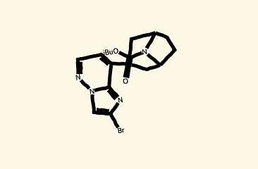 CC(C)COC(=O)N1C2CCC1CN(c1ccnn3cc(Br)nc13)C2